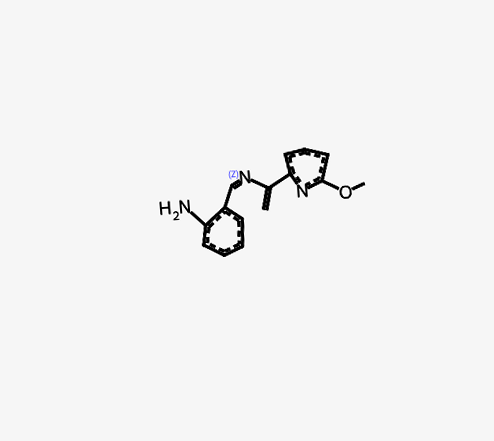 C=C(/N=C\c1ccccc1N)c1cccc(OC)n1